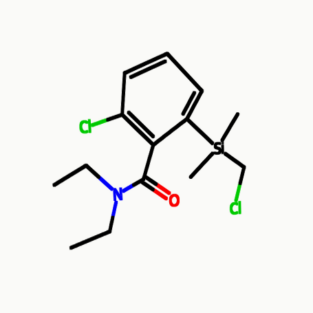 CCN(CC)C(=O)c1c(Cl)cccc1[Si](C)(C)CCl